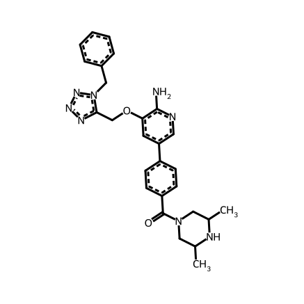 CC1CN(C(=O)c2ccc(-c3cnc(N)c(OCc4nnnn4Cc4ccccc4)c3)cc2)CC(C)N1